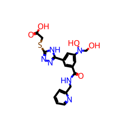 O=C(O)CSc1nnc(-c2cc(C(=O)NCc3ccccn3)cc(N(O)CO)c2)[nH]1